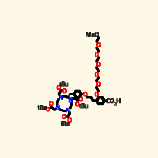 COCCOCCOCCOCCOCCOCCOc1cc(C(=O)O)ccc1CCCOc1ccc(C[C@H]2CN(CC(=O)OC(C)(C)C)CCN(CC(=O)OC(C)(C)C)CCN(CC(=O)OC(C)(C)C)CCN2CC(=O)OC(C)(C)C)cc1